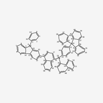 c1ccc(-n2c3ccccc3c3ccc(-c4ccc(N(c5ccc(C6(c7ccccc7)c7ccccc7-c7ccccc76)cc5)c5cccc6ccccc56)c5ccccc45)cc32)cc1